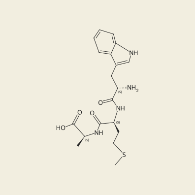 CSCC[C@H](NC(=O)[C@@H](N)Cc1c[nH]c2ccccc12)C(=O)N[C@@H](C)C(=O)O